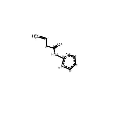 C=CCC(=O)Nc1ncccn1